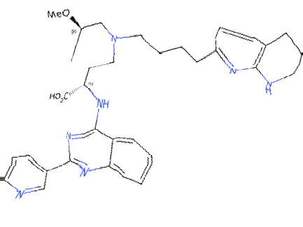 CO[C@H](C)CN(CCCCc1ccc2c(n1)NCCC2)CC[C@H](Nc1nc(-c2cccnc2)nc2ccccc12)C(=O)O